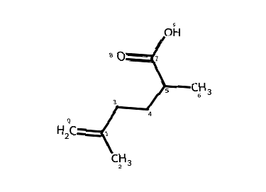 C=C(C)CCC(C)C(=O)O